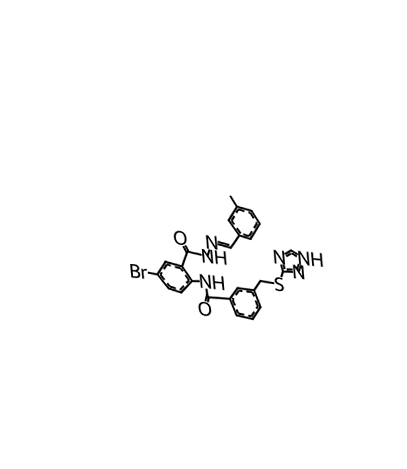 Cc1cccc(C=NNC(=O)c2cc(Br)ccc2NC(=O)c2cccc(CSc3nc[nH]n3)c2)c1